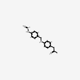 CC(=O)Cc1ccc(OCc2ccc(OP=O)cc2)cc1